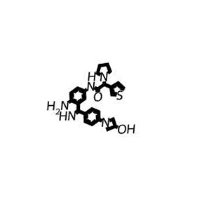 N=C(c1ccc(N2CC(O)C2)cc1)c1cc(NC(=O)C(c2ccsc2)N2CCCC2)ccc1N